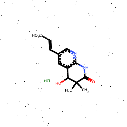 CC1(C)C(=O)Nc2ncc(/C=C/C(=O)O)cc2C1O.Cl